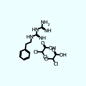 N=C(N)NC(=N)NCCc1ccccc1.O=C(O)C(Cl)Cl.O=C(O)C(Cl)Cl